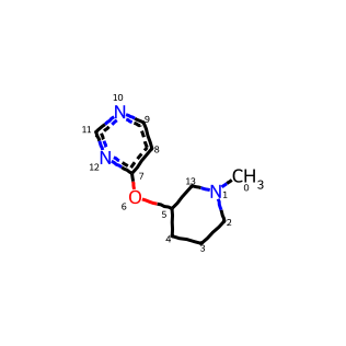 CN1CCCC(Oc2ccn[c]n2)C1